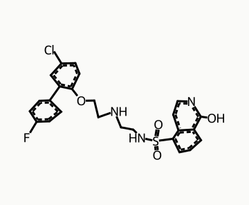 O=S(=O)(NCCNCCOc1ccc(Cl)cc1-c1ccc(F)cc1)c1cccc2c(O)nccc12